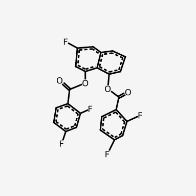 O=C(Oc1cccc2cc(F)cc(OC(=O)c3ccc(F)cc3F)c12)c1ccc(F)cc1F